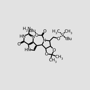 CC(C)(C)OC(=O)N1C(CO[Si](C)(C)C(C)(C)C)C2OC(C)(C)OC2C1c1c[nH]c2c(=O)[nH]c(N)nc12